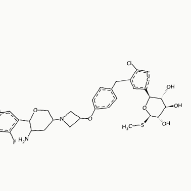 CS[C@H]1O[C@@H](c2ccc(Cl)c(Cc3ccc(OC4CN(C5COC(c6cc(F)ccc6F)C(N)C5)C4)cc3)c2)[C@H](O)[C@@H](O)[C@@H]1O